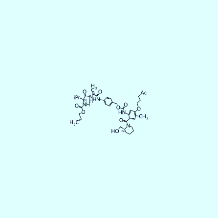 C=CCOC(=O)N[C@H](C(=O)N[C@@H](C)C(=O)Nc1ccc(COC(=O)Nc2cc(OCCCC(C)=O)c(C)cc2C(=O)N2CCCC[C@H]2CO)cc1)C(C)C